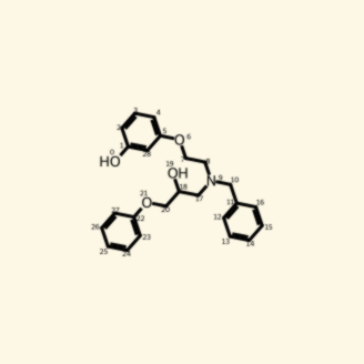 Oc1cccc(OCCN(Cc2ccccc2)CC(O)COc2ccccc2)c1